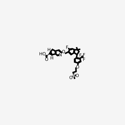 CC1(C)CC(c2ccc(OCCCS(C)(=O)=O)cc2C(F)(F)F)c2cc(COc3cc4c(cn3)[C@H]3[C@@H](C4)[C@@H]3C(=O)O)c(F)cc21